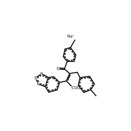 Cc1ccc(CC(C(=O)c2ccc(C)cc2)=C(C(=O)[O-])c2ccc3nsnc3c2)cc1.[Na+]